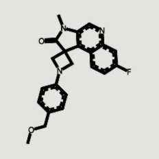 COCc1ccc(N2CC3(C2)C(=O)N(C)c2cnc4cc(F)ccc4c23)cc1